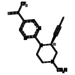 C=C(c1cnc(N2CCN(C(=O)O)C[C@@H]2C#CC)nc1)C(F)(F)F